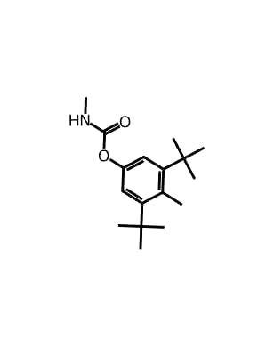 CNC(=O)Oc1cc(C(C)(C)C)c(C)c(C(C)(C)C)c1